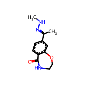 CN/N=C(\C)c1ccc2c(c1)OCCNC2=O